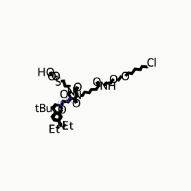 CCN(CC)c1ccc2c(c1)O/C(=C\C=C1\C(=O)N(CCCCCC(=O)NCCOCCOCCCCCCCl)C(=O)N(CCCSOOO)C1=O)C=C2C(C)(C)C